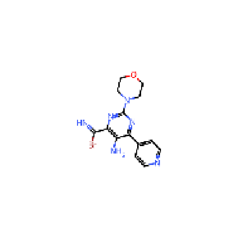 N=C(Br)c1nc(N2CCOCC2)nc(-c2ccncc2)c1N